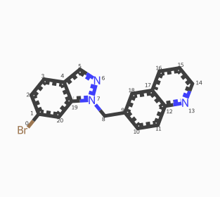 Brc1ccc2cnn(Cc3ccc4ncccc4c3)c2c1